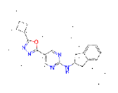 c1ccc2c(c1)CC(Nc1ncc(-c3nnc([C]4CCC4)o3)cn1)C2